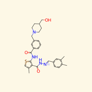 Cc1ccc(/C=N/NC(=O)c2c(C)csc2NC(=O)c2cccc(CN3CCC(CO)CC3)c2)cc1C